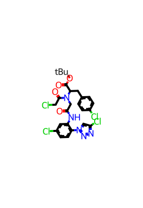 CC(C)(C)OC(=O)C(Cc1ccc(Cl)cc1)N(CC(=O)Nc1cc(Cl)ccc1-n1cc(Cl)nn1)C(=O)CCl